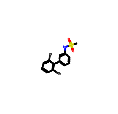 CC(C)c1cccc(C#N)c1-c1cccc(NS(C)(=O)=O)c1